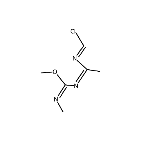 C\N=C(/N=C(C)\N=C\Cl)OC